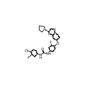 O=C(Nc1ccc(Cl)c(F)c1)Nc1ccc(Oc2ccc3ncc(N4CCCC4)nc3c2)c(F)c1